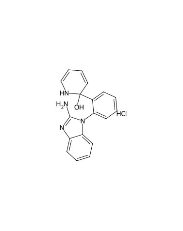 Cl.Nc1nc2ccccc2n1-c1ccccc1C1(O)C=CC=CN1